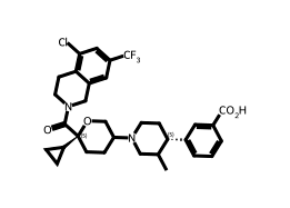 CC1CN(C2CC[C@@](C(=O)N3CCc4c(Cl)cc(C(F)(F)F)cc4C3)(C3CC3)OC2)CC[C@@H]1c1cccc(C(=O)O)c1